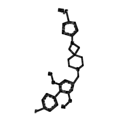 CCOc1cc(CN2CCC3(CC2)CN(c2ccc(C(=O)O)cc2)C3)cc(OCC)c1-c1ccc(F)cc1